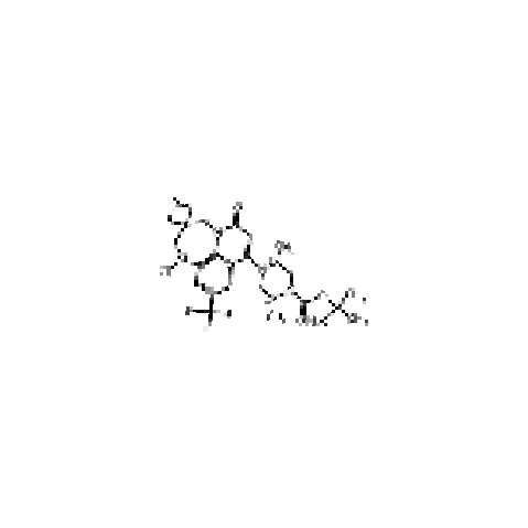 C[C@@H]1CN(c2nc(=O)n3c4c(cc(C(F)(F)F)cc24)[SH](Cl)CC2(COC2)C3)[C@@H](C)CN1C(=O)OC(C)(C)C